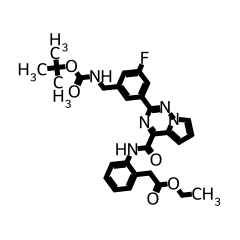 CCOC(=O)Cc1ccccc1NC(=O)c1nc(-c2cc(F)cc(CNC(=O)OC(C)(C)C)c2)nn2cccc12